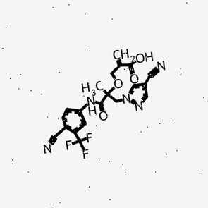 C=C(COC(C)(Cn1cc(C#N)cn1)C(=O)Nc1ccc(C#N)c(C(F)(F)F)c1)C(=O)O